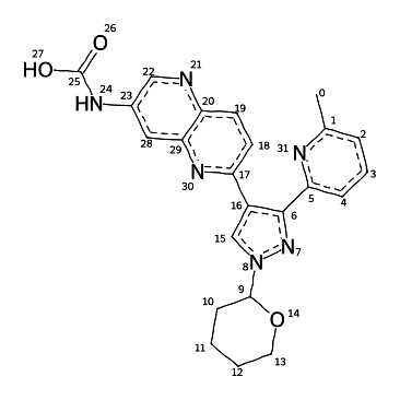 Cc1cccc(-c2nn(C3CCCCO3)cc2-c2ccc3ncc(NC(=O)O)cc3n2)n1